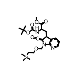 COC(=O)C(CC1C(=C=O)N(COCC[Si](C)(C)C)c2ncccc21)NC(=O)OC(C)(C)C